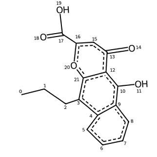 CCCc1c2ccccc2c(O)c2c(=O)cc(C(=O)O)oc12